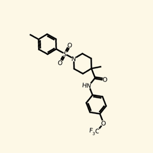 Cc1ccc(S(=O)(=O)N2CCC(C)(C(=O)Nc3ccc(OC(F)(F)F)cc3)CC2)cc1